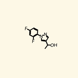 CC(O)c1cnn(-c2ccc(F)cc2F)c1